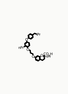 CCCc1cc(Oc2ccc(CC(C)C)cc2)ccc1OCCCOc1ccc2c(c1)O[C@@](CCC)(C(=O)O)CC2